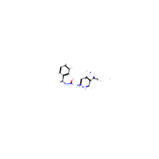 CC(=O)Nc1n[nH]c2cc(NC(=O)NC(C)c3ccccc3)ncc12